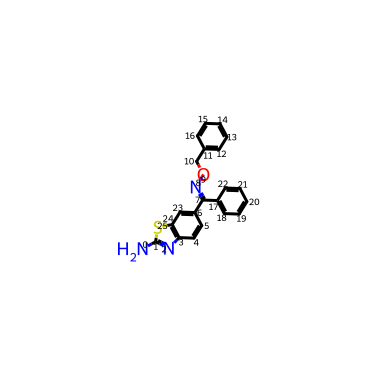 Nc1nc2ccc(C(=NOCc3ccccc3)c3ccccc3)cc2s1